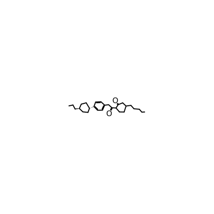 CCCCCC1CCC(C(=O)Cc2ccc([C@H]3CC[C@H](CCC)CC3)cc2)C(=O)C1